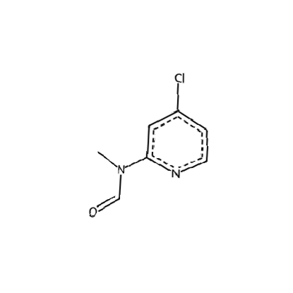 CN(C=O)c1cc(Cl)ccn1